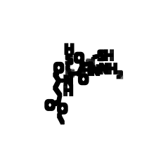 CCOC(=O)CCC(C=O)N[C@@H](CS)C(=O)C(=O)[C@H](CS)NN